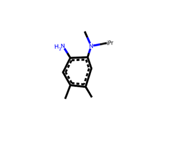 Cc1cc(N)c(N(C)C(C)C)cc1C